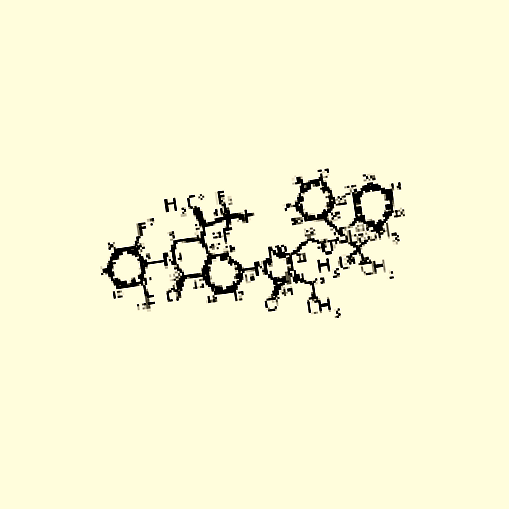 C=C(C1CN(c2c(F)cccc2F)C(=O)c2ccc(-n3nc(CO[Si](c4ccccc4)(c4ccccc4)C(C)(C)C)n(CC)c3=O)cc21)C(F)(F)F